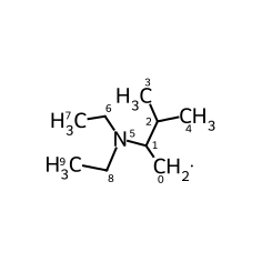 [CH2]C(C(C)C)N(CC)CC